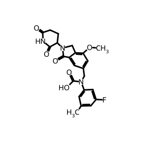 COc1cc(CN(C(=O)O)c2cc(C)cc(F)c2)cc2c1CN(C1CCC(=O)NC1=O)C2=O